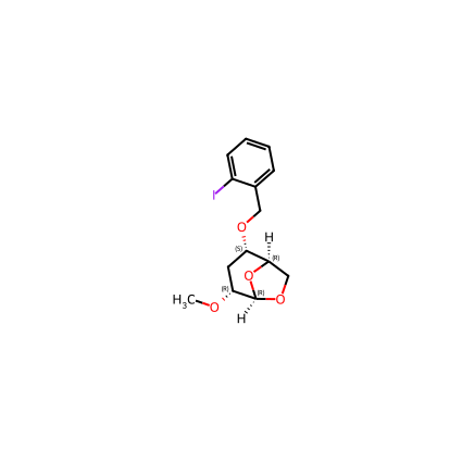 CO[C@@H]1C[C@H](OCc2ccccc2I)[C@H]2CO[C@@H]1O2